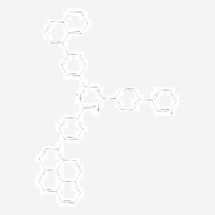 c1cncc(-c2ccc(-c3cc(-c4ccc(-c5cccc6ccccc56)cc4)nc(-c4ccc(-c5ccc6ccc7cccc8ccc5c6c78)cc4)n3)cc2)c1